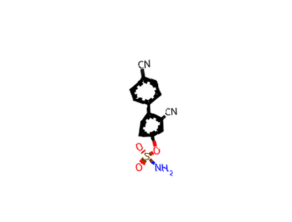 N#Cc1ccc(-c2ccc(OS(N)(=O)=O)cc2C#N)cc1